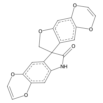 O=C1Nc2cc3c(cc2C12COc1cc4c(cc12)OC=CO4)OC=CO3